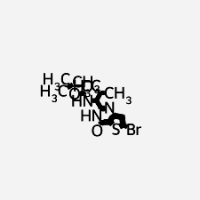 CC(C)C(NC(=O)OC(C)(C)C)c1nc2cc(Br)sc2c(=O)[nH]1